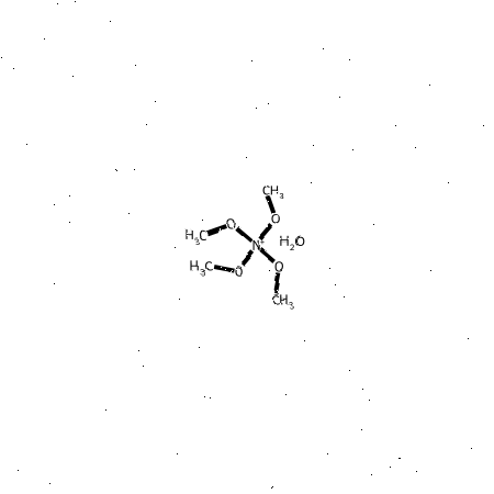 CO[N+](OC)(OC)OC.O